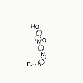 O=C1c2ccc(O)cc2CCN1c1ccc(N2CCC3(CCN(CCCF)C3)C2)cc1